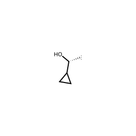 [C][C@@H](O)C1CC1